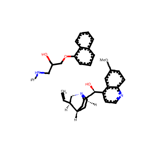 C=C[C@H]1C[N@]2CC[C@H]1C[C@@H]2[C@@H](O)c1ccnc2ccc(OC)cc12.CC(C)NCC(O)COc1cccc2ccccc12